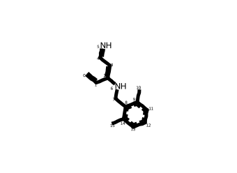 C=C/C(=C\C=N)NCc1c(C)cccc1C